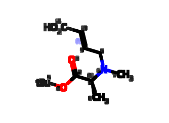 C[C@@H](C(=O)OC(C)(C)C)N(C)C/C=C/C(=O)O